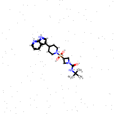 CC(C)(C)NC(=O)N1CC(S(=O)(=O)N2CCC(c3c[nH]c4ncccc34)CC2)C1